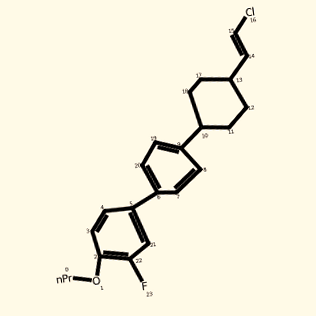 CCCOc1ccc(-c2ccc(C3CCC(/C=C/Cl)CC3)cc2)cc1F